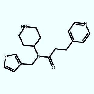 O=C(CCc1ccncc1)N(Cc1ccsc1)C1CCNCC1